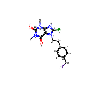 Cn1c(=O)c2c(nc(Br)n2CCc2ccc(CI)cc2)n(C)c1=O